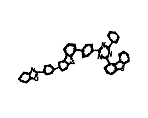 c1ccc(-c2nc(-c3ccc(-c4cccc5c4sc4ccc(-c6ccc(-c7nc8ccccc8o7)cc6)cc45)cc3)nc(-c3cccc4sc5ccccc5c34)n2)cc1